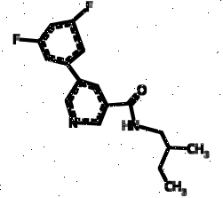 CCC(C)CNC(=O)c1cncc(-c2cc(F)cc(F)c2)c1